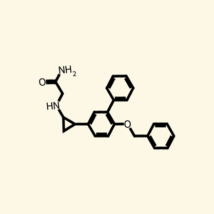 NC(=O)CNC1CC1c1ccc(OCc2ccccc2)c(-c2ccccc2)c1